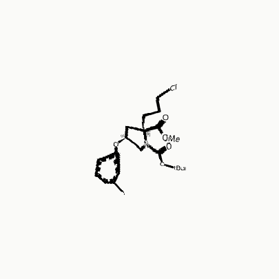 COC(=O)[C@@]1(CCCCl)C[C@H](Oc2cccc(I)c2)CN1C(=O)OC(C)(C)C